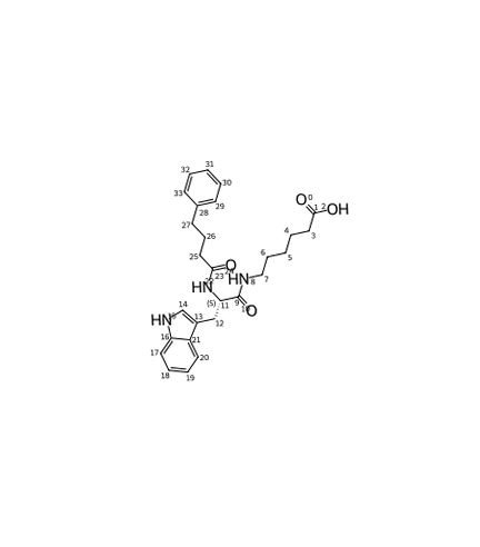 O=C(O)CCCCCNC(=O)[C@H](Cc1c[nH]c2ccccc12)NC(=O)CCCc1ccccc1